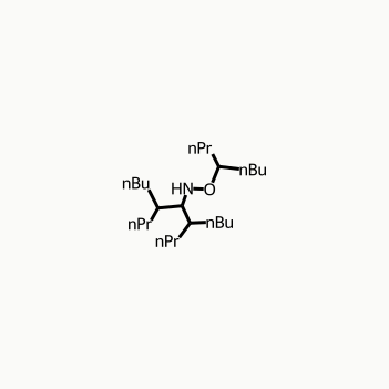 CCCCC(CCC)ONC(C(CCC)CCCC)C(CCC)CCCC